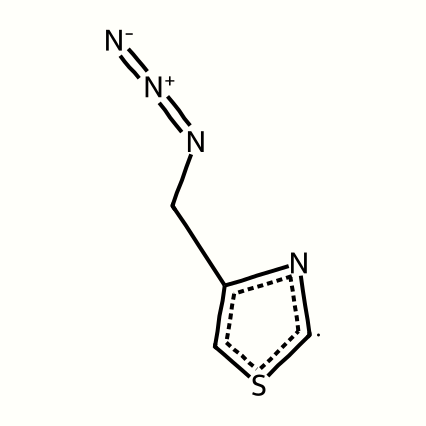 [N-]=[N+]=NCc1cs[c]n1